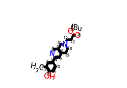 Cc1cc(-c2cc3c(cn2)CN(CCC(=O)OC(C)(C)C)CC3)ccc1O